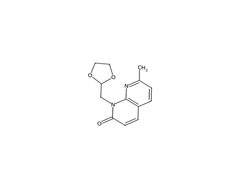 Cc1ccc2ccc(=O)n(CC3OCCO3)c2n1